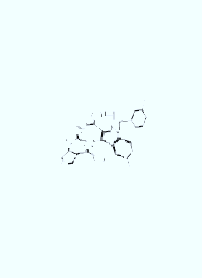 Cc1ccc(C)c(Cn2c(C(=O)O)c(-n3c(=O)[nH]c4cscc4c3=O)c3cc(C)ccc32)c1